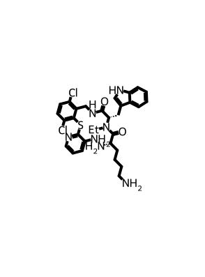 CCN(C(=O)[C@@H](N)CCCCN)[C@@H](Cc1c[nH]c2ccccc12)C(=O)NCc1c(Cl)ccc(Cl)c1Sc1ncccc1N